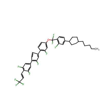 CCCCCC1CCC(c2ccc(C(F)(F)Oc3ccc(-c4ccc(-c5cc(F)c(/C=C/C(F)(F)F)c(F)c5)c(F)c4)c(F)c3)c(F)c2)CC1